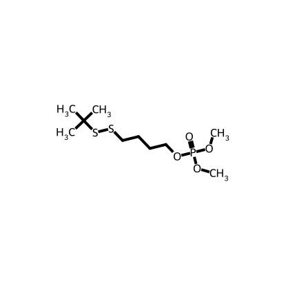 COP(=O)(OC)OCCCCSSC(C)(C)C